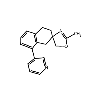 CC1=NC2(CCc3cccc(-c4cccnc4)c3C2)CO1